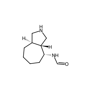 O=CN[C@@H]1CCCC[C@H]2CNC[C@@H]21